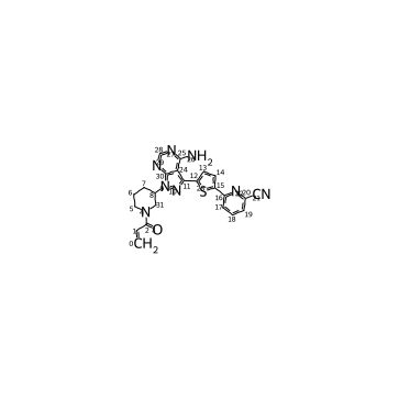 C=CC(=O)N1CCCC(n2nc(-c3ccc(-c4cccc(C#N)n4)s3)c3c(N)ncnc32)C1